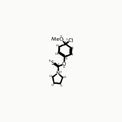 COC1(Cl)C=CC(OC(=S)N2CCCC2)=CC1